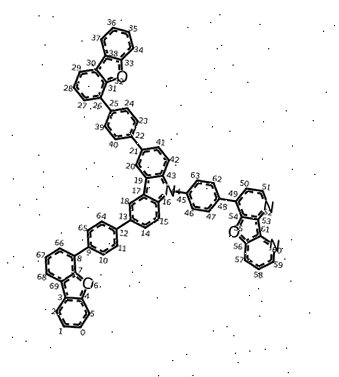 c1ccc2c(c1)oc1c(-c3ccc(-c4ccc5c(c4)c4cc(-c6ccc(-c7cccc8c7oc7ccccc78)cc6)ccc4n5-c4ccc(-c5ccnc6c5oc5cccnc56)cc4)cc3)cccc12